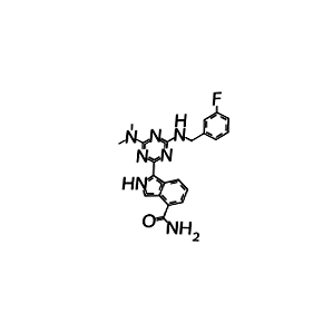 CN(C)c1nc(NCc2cccc(F)c2)nc(-c2[nH]cc3c(C(N)=O)cccc23)n1